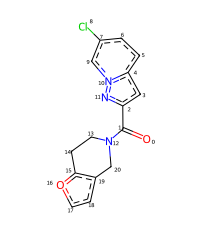 O=C(c1cc2ccc(Cl)cn2n1)N1CCc2occc2C1